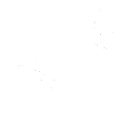 COC(=O)N[C@H](C(=O)N1CC(F)(F)C[C@H]1c1ncc(-c2ccc(-c3ccc4cc(-c5cnc([C@@H]6CCCN6C(=O)[C@H](NC(O)OC)c6ccccc6)[nH]5)ccc4c3)cc2)[nH]1)C1CCOCC1